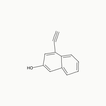 C#Cc1cc(O)cc2ccccc12